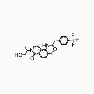 C[C@H](CO)n1ccc2c(NC(=O)Cc3ccc(C(F)(F)F)cc3)c(Cl)ccc2c1=O